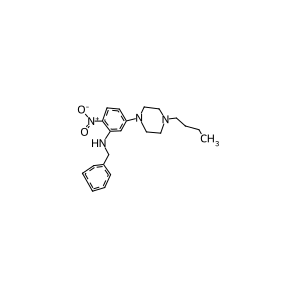 CCCCN1CCN(c2ccc([N+](=O)[O-])c(NCc3ccccc3)c2)CC1